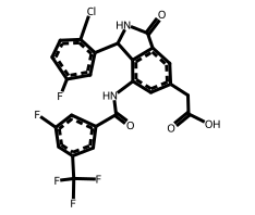 O=C(O)Cc1cc(NC(=O)c2cc(F)cc(C(F)(F)F)c2)c2c(c1)C(=O)NC2c1cc(F)ccc1Cl